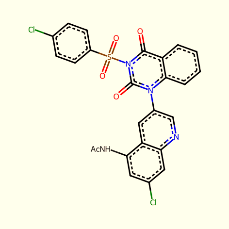 CC(=O)Nc1cc(Cl)cc2ncc(-n3c(=O)n(S(=O)(=O)c4ccc(Cl)cc4)c(=O)c4ccccc43)cc12